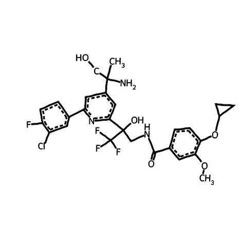 COc1cc(C(=O)NCC(O)(c2cc(C(C)(N)CO)cc(-c3ccc(F)c(Cl)c3)n2)C(F)(F)F)ccc1OC1CC1